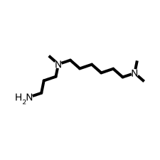 CN(C)CCCCCCN(C)CCCN